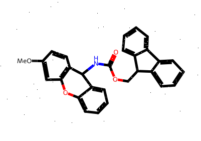 [CH2]Oc1ccc2c(c1)Oc1ccccc1C2NC(=O)OCC1c2ccccc2-c2ccccc21